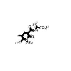 CCCCn1c(CCC)c(C)cc(C(=O)N[C@H](C(=O)O)C(C)C)c1=O